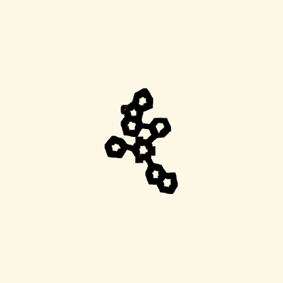 C1=CC(c2nc(-c3ccccc3)nc(-c3ccc4ccccc4c3)n2)=C(c2cccc3oc4ccccc4c23)CC1